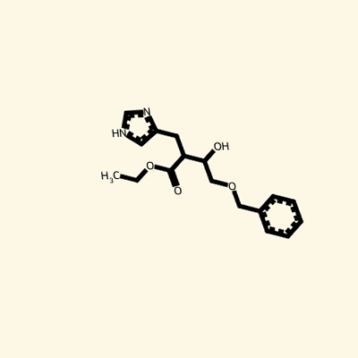 CCOC(=O)C(Cc1c[nH]cn1)C(O)COCc1ccccc1